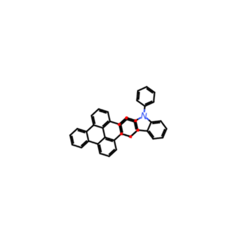 C1=CCCC(c2cccc3c4ccccc4c4cccc(C5=CC=C6C(C5)c5ccccc5N6c5ccccc5)c4c23)=C1